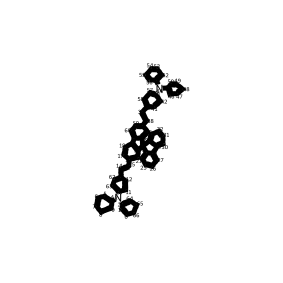 C1=CC(N(c2ccccc2)c2ccc(/C=C/c3ccc4c(c3)C3(c5ccccc5-c5ccccc53)c3cc(/C=C/c5ccc(N(c6ccccc6)c6ccccc6)cc5)ccc3-4)cc2)=CCC1